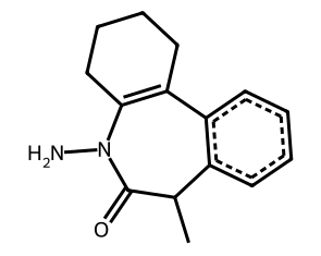 CC1C(=O)N(N)C2=C(CCCC2)c2ccccc21